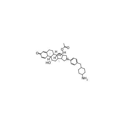 CC(=O)OCC(=O)[C@@]12CN(c3ccc(CC4CCC(N)CC4)cc3)C[C@@H]1C[C@H]1[C@@H]3CCC4=CC(=O)C=C[C@]4(C)[C@H]3[C@@H](O)C[C@@]12C